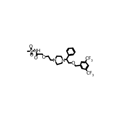 CS(=O)(=O)NC(=O)COCCN1CCN(C(COCc2cc(C(F)(F)F)cc(C(F)(F)F)c2)c2ccccc2)CC1